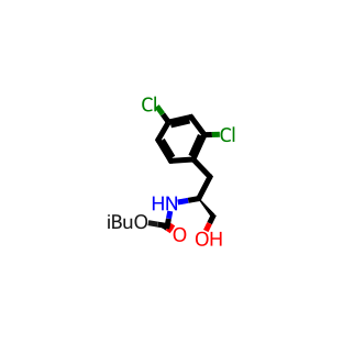 CC(C)COC(=O)N[C@H](CO)Cc1ccc(Cl)cc1Cl